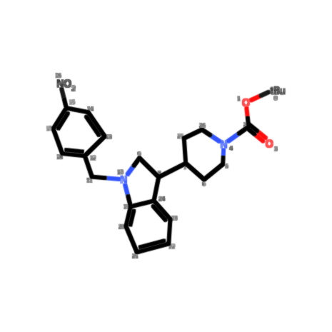 CC(C)(C)OC(=O)N1CCC(C2CN(Cc3ccc([N+](=O)[O-])cc3)c3ccccc32)CC1